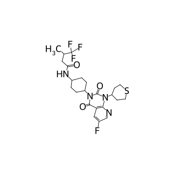 CC(CC(=O)NC1CCC(n2c(=O)c3cc(F)cnc3n(C3CCSCC3)c2=O)CC1)C(F)(F)F